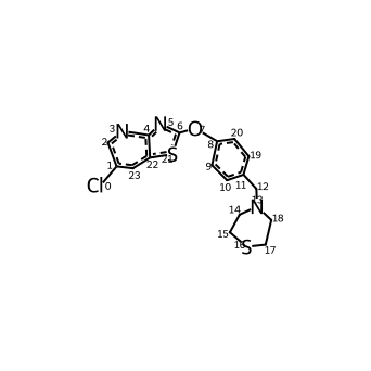 Clc1cnc2nc(Oc3ccc(CN4CCSCC4)cc3)sc2c1